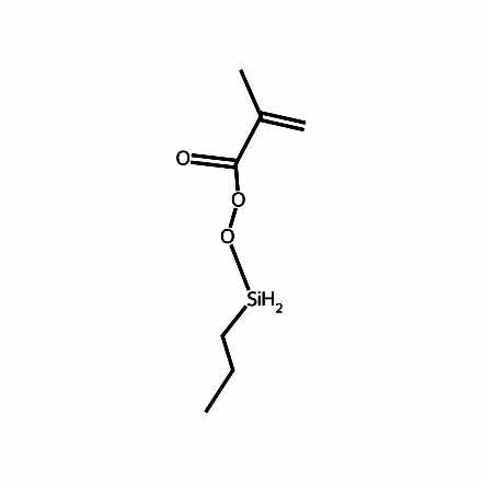 C=C(C)C(=O)OO[SiH2]CCC